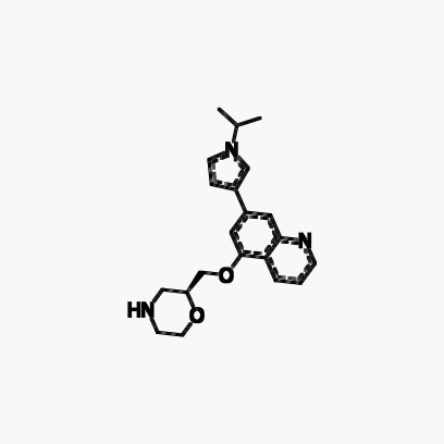 CC(C)n1ccc(-c2cc(OC[C@@H]3CNCCO3)c3cccnc3c2)c1